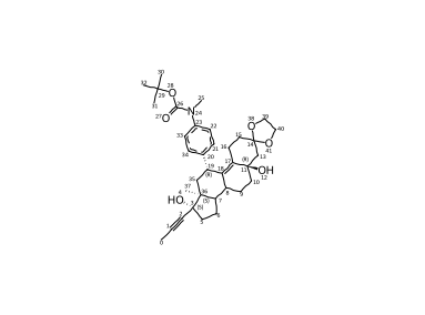 CC#C[C@]1(O)CCC2C3CC[C@@]4(O)CC5(CCC4=C3[C@@H](c3ccc(N(C)C(=O)OC(C)(C)C)cc3)C[C@@]21C)OCCO5